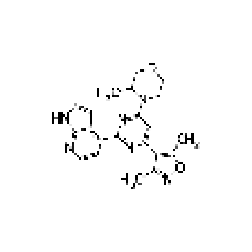 Cc1noc(C)c1-c1cc(N2CCOCC2C)nc(-c2ccnc3[nH]ccc23)n1